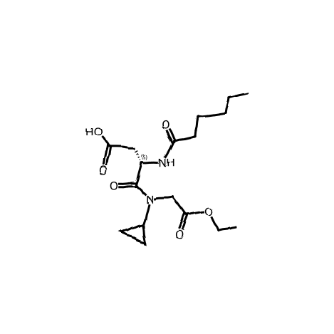 CCCCCC(=O)N[C@@H](CC(=O)O)C(=O)N(CC(=O)OCC)C1CC1